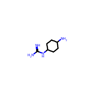 N=C(N)NC1CCC(N)CC1